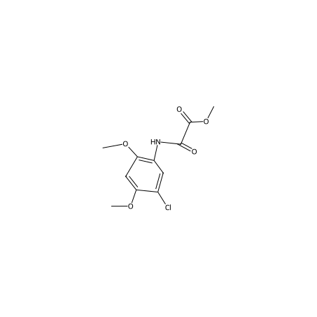 COC(=O)C(=O)Nc1cc(Cl)c(OC)cc1OC